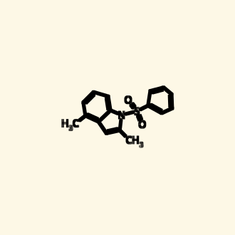 Cc1cccc2c1cc(C)n2S(=O)(=O)c1ccccc1